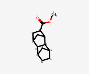 COC(=O)C1CC2CC1C1C3CCC(C3)C21